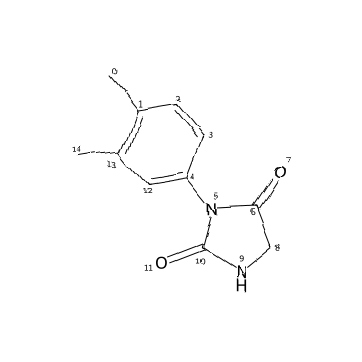 Cc1ccc(N2C(=O)CNC2=O)cc1C